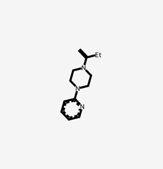 C=C(CC)N1CCN(c2ccccn2)CC1